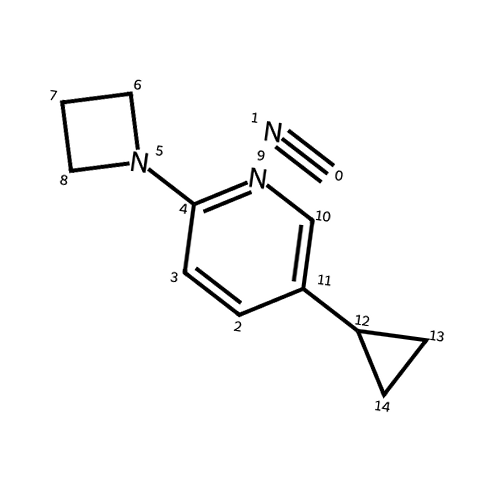 C#N.c1cc(N2CCC2)ncc1C1CC1